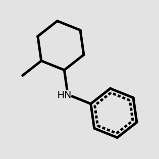 CC1CCCCC1Nc1ccccc1